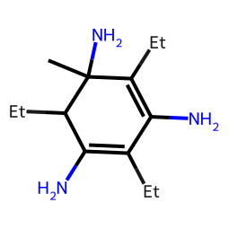 CCC1=C(N)C(CC)C(C)(N)C(CC)=C1N